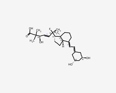 CC(C)(C(=O)O)[C@H](O)/C=C/[C@](C)(F)[C@H]1CC[C@H]2/C(=C/C=C3C[C@@H](O)C[C@H](O)C3)CCC[C@@]21C